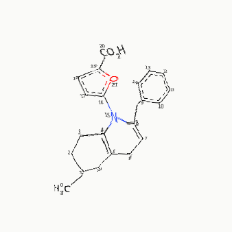 CC1CCC2=C(CC=C(c3ccccc3)N2c2ccc(C(=O)O)o2)C1